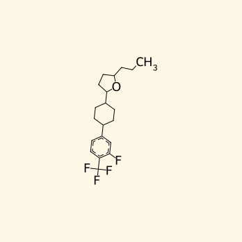 CCCC1CCC(C2CCC(c3ccc(C(F)(F)F)c(F)c3)CC2)O1